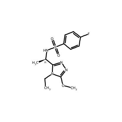 CCn1c(OC)nnc1[C@@H](C)NS(=O)(=O)c1ccc(F)cc1